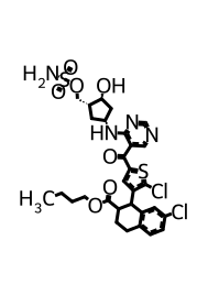 CCCCOC(=O)C1CCc2ccc(Cl)cc2C1c1cc(C(=O)c2cncnc2N[C@@H]2C[C@H](COS(N)(=O)=O)[C@@H](O)C2)sc1Cl